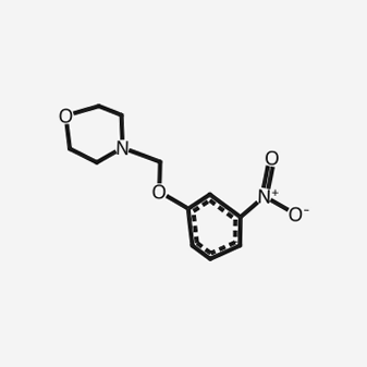 O=[N+]([O-])c1cccc(OCN2CCOCC2)c1